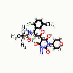 Cc1ccc(F)c([C@H](N[S+]([O-])C(C)(C)C)[C@@H](F)C(=O)C2C(=O)NC(=O)N(C3CCOCC3)C2=O)c1